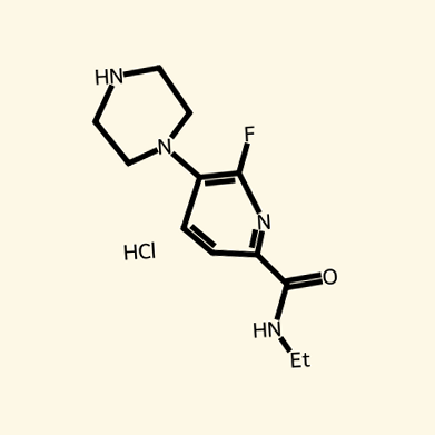 CCNC(=O)c1ccc(N2CCNCC2)c(F)n1.Cl